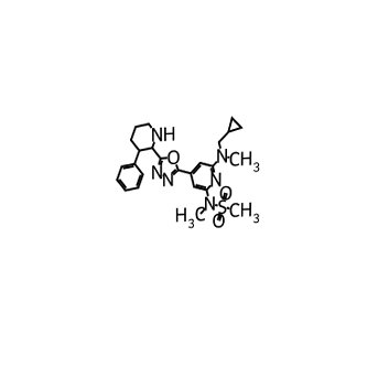 CN(CC1CC1)c1cc(-c2nnc(C3NCCCC3c3ccccc3)o2)cc(N(C)S(C)(=O)=O)n1